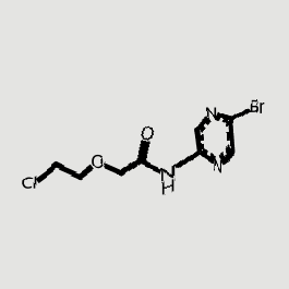 O=C(COCCCl)Nc1cnc(Br)cn1